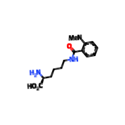 CNc1ccccc1C(=O)NCCCC[C@H](N)C(=O)O